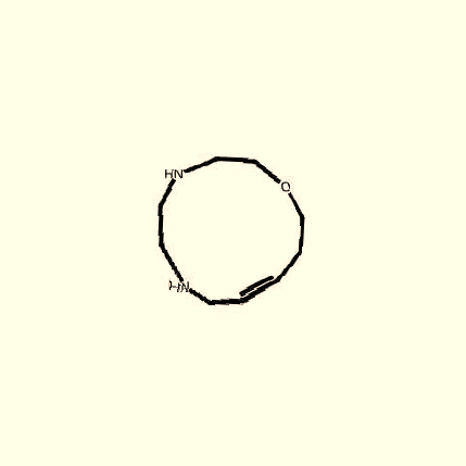 C1=CCNCCNCCOCC1